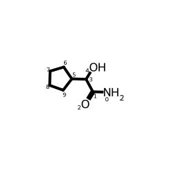 NC(=O)C(O)C1C[CH]CC1